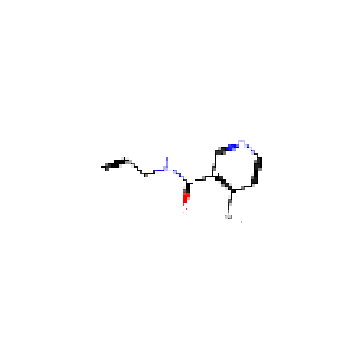 C=CCNC(=O)c1cnccc1[N+](=O)[O-]